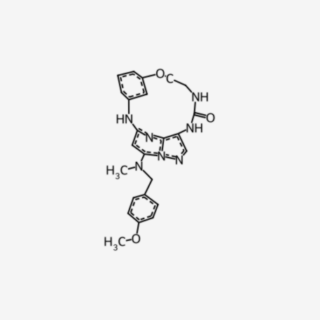 COc1ccc(CN(C)c2cc3nc4c(cnn24)NC(=O)NCCOc2cccc(c2)N3)cc1